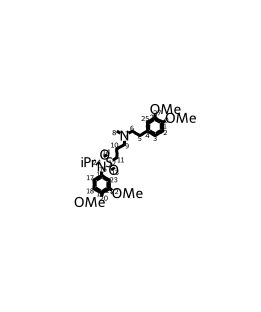 COc1ccc(CCN(C)CCCS(=O)(=O)N(c2ccc(OC)c(OC)c2)C(C)C)cc1OC